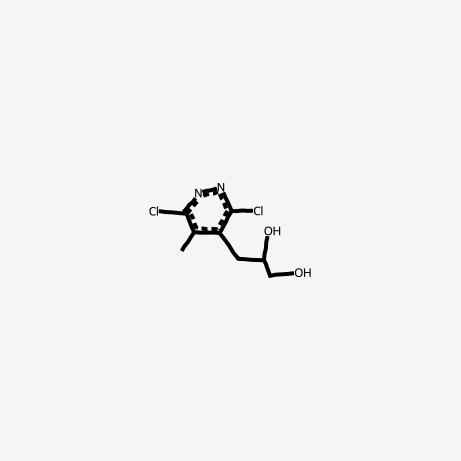 Cc1c(Cl)nnc(Cl)c1CC(O)CO